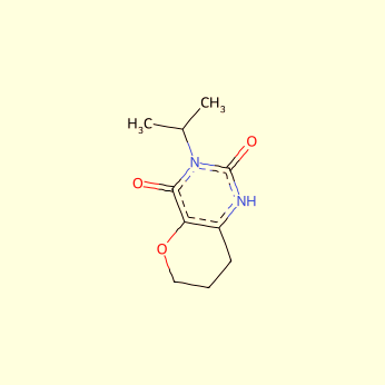 CC(C)n1c(=O)[nH]c2c(c1=O)OCCC2